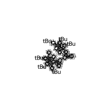 CC(C)(C)c1ccc(N2c3ccccc3B3c4c(cc(C(C)(C)C)cc42)-c2cc(C(C)(C)C)cc4c(-c5ccc6c(c5)C5(C)CC(C7CCC8(C)N(c9ccc%10c(c9)N(c9ccc(C(C)(C)C)cc9)c9cc(C(C)(C)C)cc%11c9B%10n9c(-c%10ccccc%10)c(-c%10ccccc%10)c%10cc(C(C)(C)C)cc-%11c%109)c9ccccc9C8(C)C7)CCC5(C)N6c5ccccc5)c(-c5ccccc5)n3c24)cc1